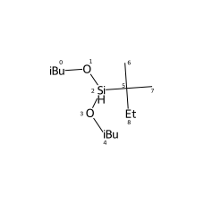 CCC(C)O[SiH](OC(C)CC)C(C)(C)CC